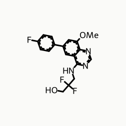 COc1cc(-c2ccc(F)cc2)cc2c(NCC(F)(F)CO)ncnc12